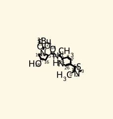 Cc1ncsc1-c1ccc(C(C)NC(=O)[C@@H]2C[C@@H](O)CN2C(=O)OC(C)(C)C)nc1